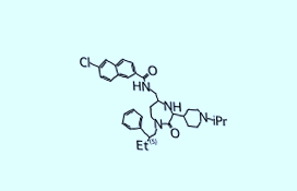 CC[C@H](CN1CCC(CNC(=O)c2ccc3cc(Cl)ccc3c2)NC(C2CCN(C(C)C)CC2)C1=O)c1ccccc1